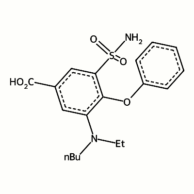 CCCCN(CC)c1cc(C(=O)O)cc(S(N)(=O)=O)c1Oc1ccccc1